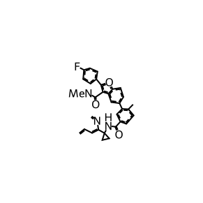 C=C/C=C(\N=C)C1(NC(=O)c2ccc(C)c(-c3ccc4oc(-c5ccc(F)cc5)c(C(=O)NC)c4c3)c2)CC1